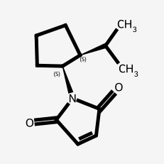 CC(C)[C@@H]1CCC[C@@H]1N1C(=O)C=CC1=O